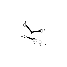 CCO.ClCCl.O